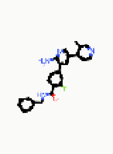 Cc1cnccc1-c1cnc(N)c(-c2ccc(C(=O)NCc3ccccc3)c(F)c2)c1